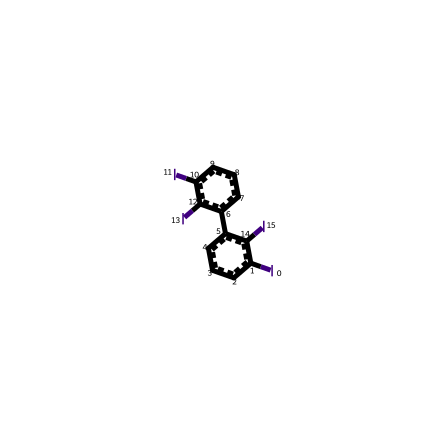 Ic1cccc(-c2cccc(I)c2I)c1I